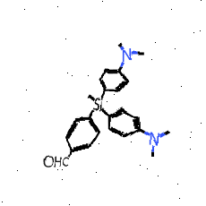 CN(C)c1ccc([Si](C)(c2ccc(C=O)cc2)c2ccc(N(C)C)cc2)cc1